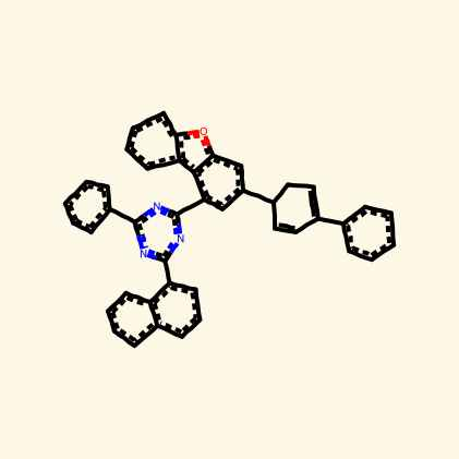 C1=CC(c2cc(-c3nc(-c4ccccc4)nc(-c4cccc5ccccc45)n3)c3c(c2)oc2ccccc23)CC=C1c1ccccc1